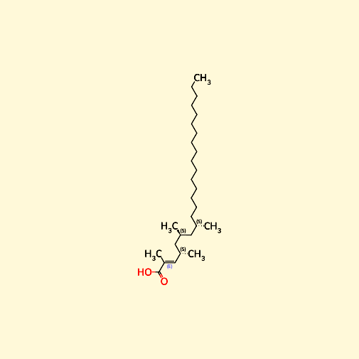 CCCCCCCCCCCCCCCC[C@H](C)C[C@H](C)C[C@H](C)/C=C(\C)C(=O)O